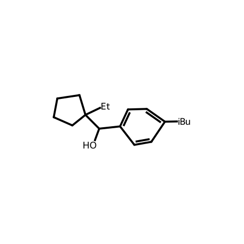 CCC(C)c1ccc(C(O)C2(CC)CCCC2)cc1